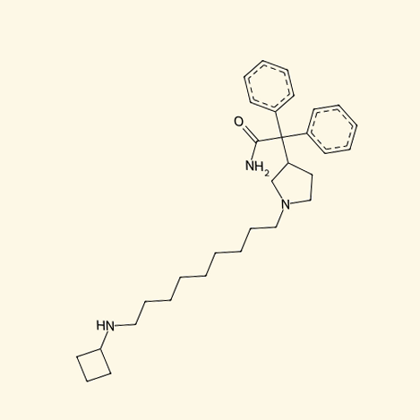 NC(=O)C(c1ccccc1)(c1ccccc1)C1CCN(CCCCCCCCCNC2CCC2)C1